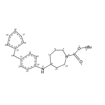 CCCCOC(=O)N1CCCC(Nc2ccc(Cc3ccccc3)cc2)CC1